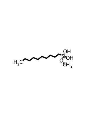 CCCCCCCCCC[Si](O)(O)OC